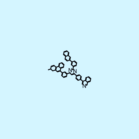 CC1C=Cc2c(cc(-c3cccc(-c4cc(-c5ccc(-c6cncc7ccccc67)cc5)nc(-c5cccc(-c6ccc7ccccc7c6)c5)n4)c3)c3ccccc23)C1